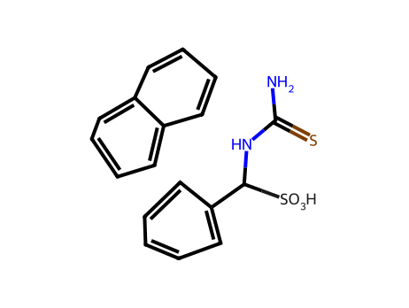 NC(=S)NC(c1ccccc1)S(=O)(=O)O.c1ccc2ccccc2c1